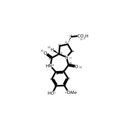 COc1cc2c(cc1O)NC(=O)[C@@H]1C[C@H](CC(=O)O)CN1C2=O